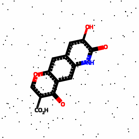 O=C(O)c1coc2cc3cc(O)c(=O)[nH]c3cc2c1=O